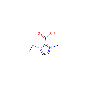 CC[n+]1ccn(C)c1C(=O)O